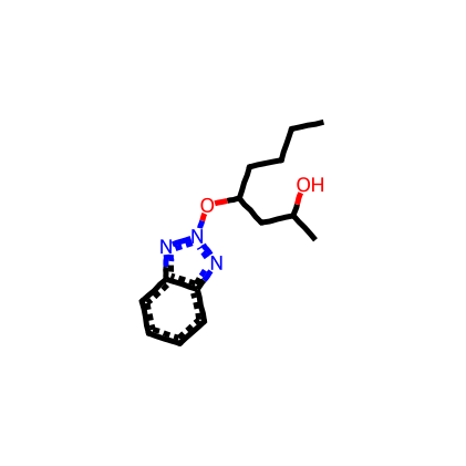 CCCCC(CC(C)O)On1nc2ccccc2n1